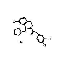 Cl.O=C(Cc1ccc(Cl)c(Cl)c1)N1CCc2ccc(Cl)cc2C1CN1CCCC1